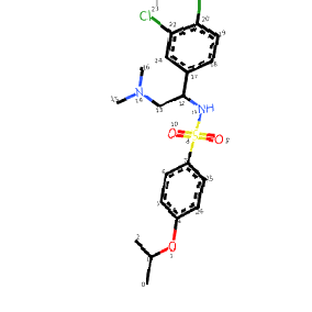 CC(C)Oc1ccc(S(=O)(=O)NC(CN(C)C)c2ccc(Cl)c(Cl)c2)cc1